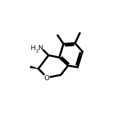 Cc1ccc2c(c1C)C(N)[C@H](C)OC2